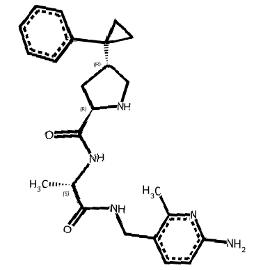 Cc1nc(N)ccc1CNC(=O)[C@H](C)NC(=O)[C@H]1C[C@H](C2(c3ccccc3)CC2)CN1